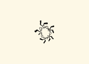 C=C[Si]1(C)O[Si](C=C)(C=C)O[Si](C=C)(C=C)O[Si](C=C)(C=C)O[Si](C=C)(C=C)O1